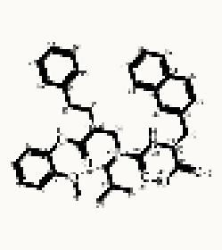 COc1ccccc1OC(=O)[C@@H](CCc1ccccc1)CN(CC(C)C)C(=O)N[C@@H](Cc1ccc2ccccc2c1)C(=O)O